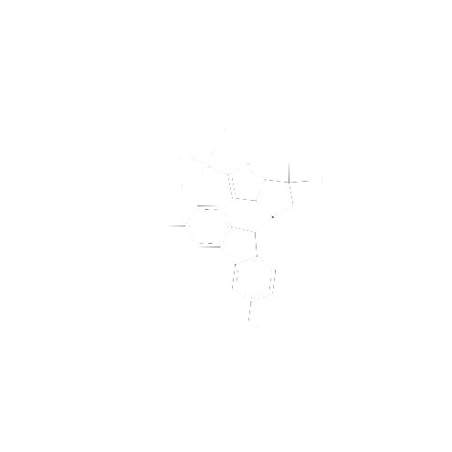 CC1(C)CC(C)(C2c3ccc(C(C)(C)C)cc3-c3cc(C(C)(C)C)ccc32)C2C=C([Si](C)(C)C)C=C21.[Cl-].[Cl-].[Zr+2]